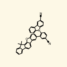 CC1(C)c2ccccc2-c2ccc3c(oc4ccc(-c5cc(C#N)ccc5-n5c6ccccc6c6cc(C#N)ccc65)cc43)c21